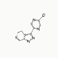 Clc1cnc(-c2nnc3n2CCN=C3)cn1